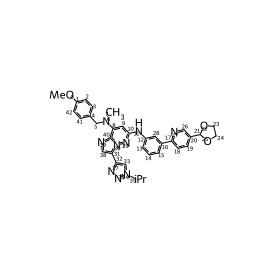 COc1ccc(CN(C)c2cc(Nc3cccc(-c4ccc(C5OCCO5)cn4)c3)nn3c(-c4cn(C(C)C)nn4)cnc23)cc1